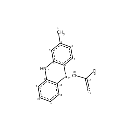 Cc1ccc2c(c1)Nc1ccccc1S2.O=C(Cl)Cl